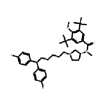 COc1c(C(C)(C)C)cc(C(=O)N(C)[C@H]2CCN(CCCCCC(c3ccc(F)cc3)c3ccc(F)cc3)C2)cc1C(C)(C)C